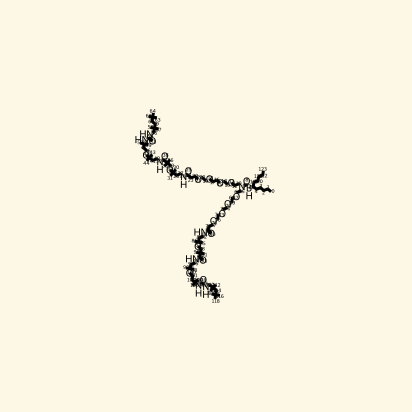 CCCCCC(BC(=O)N(CCOCCOCCOCCOCCC(=O)NCCC(C)(C)OCC(C)(C)C(=O)NCCC(C)(C)OCCC(C)(C)NC(=O)NCC(C)(C)CCC(C)(C)C)CCOCCOCCOCCOCCC(=O)NCCC(C)(C)OCC(C)(C)C(=O)NCCC(C)(C)OCCC(C)(C)NC(=O)NCC(C)(C)CC(C)(C)C)CCCCC